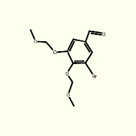 COCOc1cc(C=O)cc(Br)c1OCOC